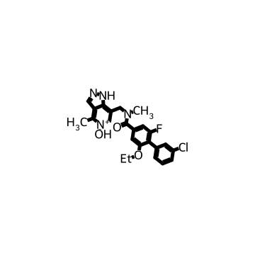 CCOc1cc(C(=O)N(C)Cc2c[n+](O)c(C)c3cn[nH]c23)cc(F)c1-c1cccc(Cl)c1